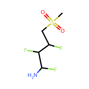 CS(=O)(=O)CC(F)C(F)C(N)F